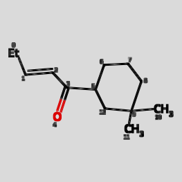 CCC=CC(=O)C1CCCC(C)(C)C1